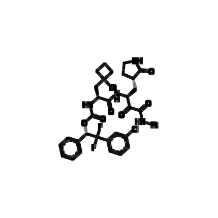 CCNC(=O)C(=O)[C@H](C[C@@H]1CCNC1=O)NC(=O)[C@H](CC1(CC)CCC1)NC(=O)O[C@@H](c1ccccc1)C(F)(F)c1cccc(Cl)c1